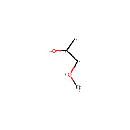 CCOCC(C)[O]